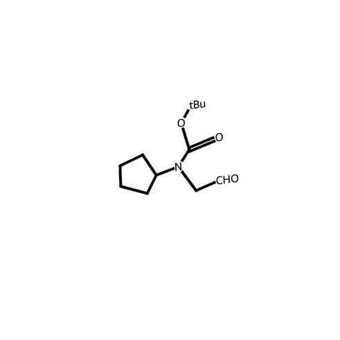 CC(C)(C)OC(=O)N(CC=O)C1CCCC1